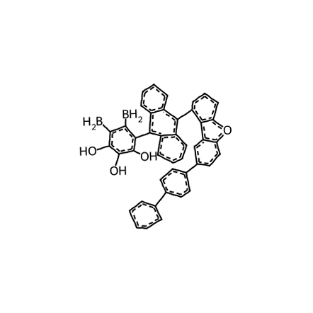 Bc1c(B)c(-c2c3ccccc3c(-c3cccc4oc5ccc(-c6ccc(-c7ccccc7)cc6)cc5c34)c3ccccc23)c(O)c(O)c1O